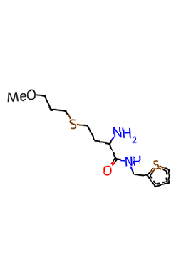 COCCCSCCC(N)C(=O)NCc1cccs1